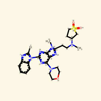 CCc1nc2ccccc2n1-c1nc(N2CCOCC2)c2nc(CCN(C)[C@H]3CCS(=O)(=O)C3)n(C)c2n1